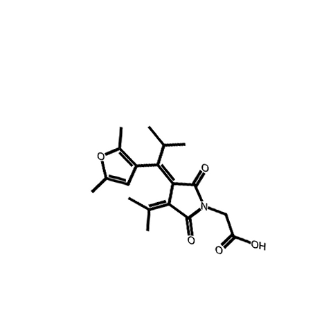 CC(C)=C1C(=O)N(CC(=O)O)C(=O)C1=C(c1cc(C)oc1C)C(C)C